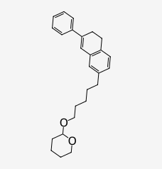 C1=C(c2ccccc2)CCc2ccc(CCCCCOC3CCCCO3)cc21